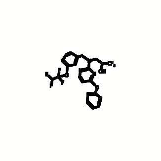 OC(CN(Cc1cccc(OC(F)(F)C(F)F)c1)c1nccc(Oc2ccccc2)n1)C(F)(F)F